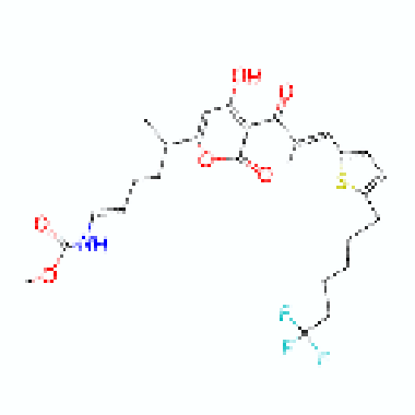 COC(=O)N/C=C/CCC(C)c1cc(O)c(C(=O)/C(C)=C/c2ccc(CCCCCC(F)(F)F)s2)c(=O)o1